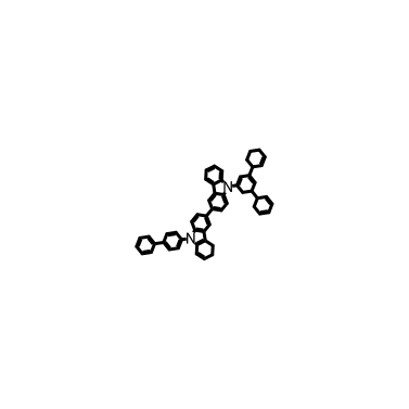 C1=CCC(C2C=C(C3C=CCCC3)C=C(n3c4ccccc4c4cc(-c5ccc6c(c5)c5c(n6-c6ccc(-c7ccccc7)cc6)C=CCC5)ccc43)C2)C=C1